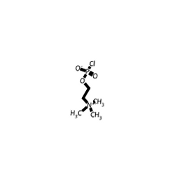 C[N+](C)(C)CCOP(=O)([O-])Cl